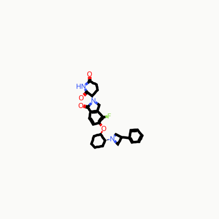 O=C1CC[C@H](N2Cc3c(ccc(O[C@@H]4CCCC[C@H]4N4CC(c5ccccc5)C4)c3F)C2=O)C(=O)N1